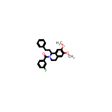 COc1cc2c(cc1OC)C(CCc1ccccc1)N(C(=O)c1cccc(F)c1)CC2